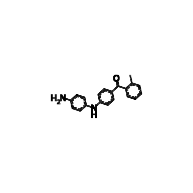 Cc1ccccc1C(=O)c1ccc(Nc2ccc(N)cc2)cc1